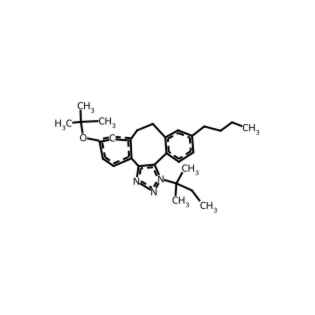 CCCCc1ccc2c(c1)CCc1cc(OC(C)(C)C)ccc1-c1nnn(C(C)(C)CC)c1-2